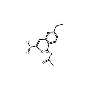 COc1ccc2c(c1)C=C([N+](=O)[O-])O[C@@H]2OC(C)=O